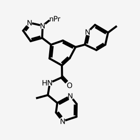 CCCn1nccc1-c1cc(C(=O)NC(C)c2cnccn2)cc(-c2ccc(C)cn2)c1